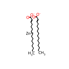 CCCCCCCCCCCCCC=CC(=O)[O-].CCCCCCCCCCCCCC=CC(=O)[O-].[Zn+2]